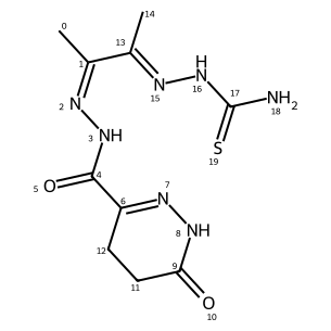 CC(=NNC(=O)C1=NNC(=O)CC1)C(C)=NNC(N)=S